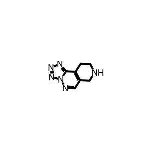 c1nn2nnnc2c2c1CNCC2